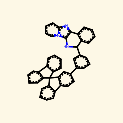 c1cc(-c2ccc3c(c2)C2(c4ccccc4-c4ccccc42)c2ccccc2-3)cc(C2Nc3c(nc4ccccn34)-c3ccccc32)c1